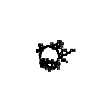 C=C1C[C@@H]2CC[C@@]34C[C@H]5O[C@H]6[C@@H](O3)[C@H]3O[C@H](CC[C@@H]3O[C@H]6[C@H]5O4)CC(=O)CC3C(C[C@H]4O[C@@H](CCC1O2)C[C@@H](C)C4=C)O[C@H](C[C@H](O)CO)[C@@H]3C